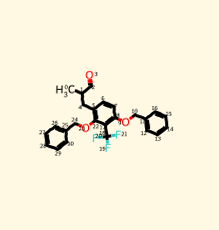 CC(C=O)Cc1ccc(OCc2ccccc2)c(C(F)(F)F)c1OCc1ccccc1